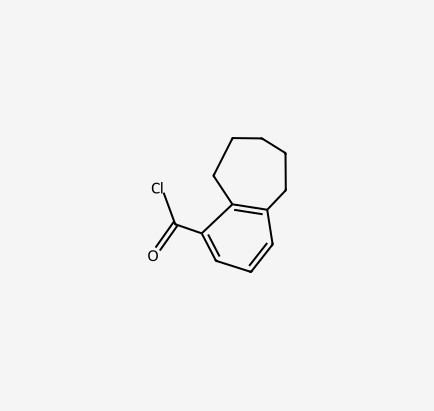 O=C(Cl)c1cccc2c1CCCCC2